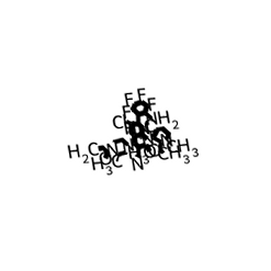 C=CC(=O)N1CCN(c2c(C#N)c(=O)n(C3=C(C)C=CN(C)C3C(C)C)c3nc(-c4c(N)c(F)c(F)c(F)c4F)c(Cl)cc23)C[C@H]1C